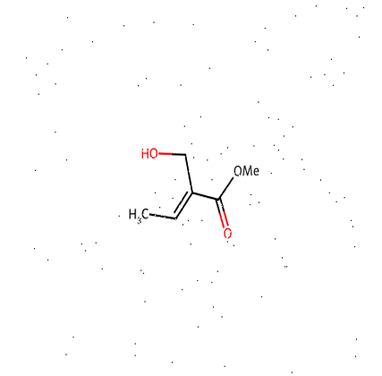 CC=C(CO)C(=O)OC